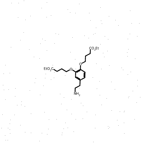 CCOC(=O)CCCOc1ccc(CCN)cc1OCCCC(=O)OCC